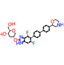 OC[C@H]1OC[C@H](Oc2nc3c(F)c(-c4ccc(-c5ccc(C6CNCCO6)cc5)cc4)c(F)cc3[nH]2)C[C@@H]1O